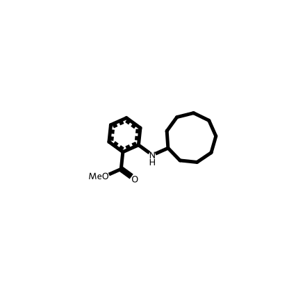 COC(=O)c1ccccc1NC1CCCCCCCC1